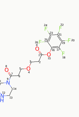 O=C(CCOCCC(=O)N1CCNCC1)Oc1c(F)c(F)c(F)c(F)c1F